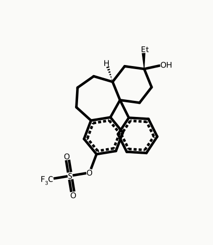 CC[C@@]1(O)CCC2(c3ccccc3)c3ccc(OS(=O)(=O)C(F)(F)F)cc3CCC[C@H]2C1